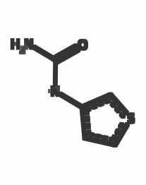 NC(=O)[N]c1ccsc1